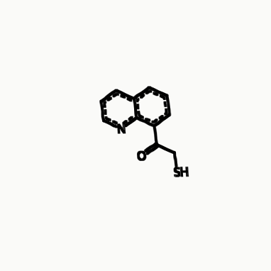 O=C(CS)c1cccc2cccnc12